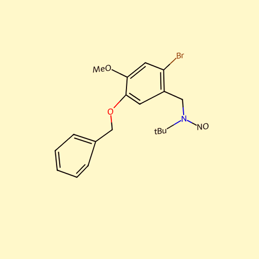 COc1cc(Br)c(CN(N=O)C(C)(C)C)cc1OCc1ccccc1